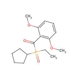 CCP(=O)(C(=O)c1c(OC)cccc1OC)C1CCCC1